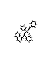 C(#CC1(c2ccccc2)C=C(c2cccc3ccccc23)c2ccccc2O1)c1ccccc1